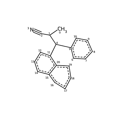 CC(C#N)C(c1ccccc1)c1cccc2ccccc12